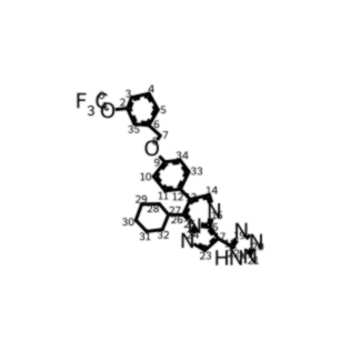 FC(F)(F)Oc1cccc(COc2ccc(-c3cnc4c(-c5nnn[nH]5)cnn4c3C3CCCCC3)cc2)c1